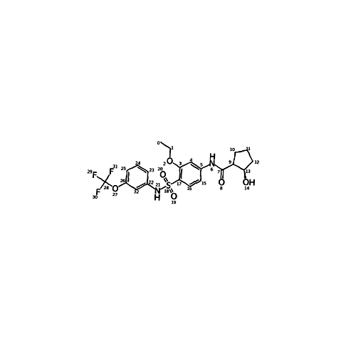 CCOc1cc(NC(=O)C2CCC[C@H]2O)ccc1S(=O)(=O)Nc1cccc(OC(F)(F)F)c1